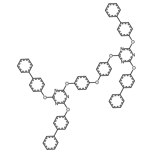 c1ccc(-c2ccc(Oc3nc(Oc4ccc(Oc5ccc(Oc6nc(Oc7ccc(-c8ccccc8)cc7)nc(Oc7ccc(-c8ccccc8)cc7)n6)cc5)cc4)nc(Oc4ccc(-c5ccccc5)cc4)n3)cc2)cc1